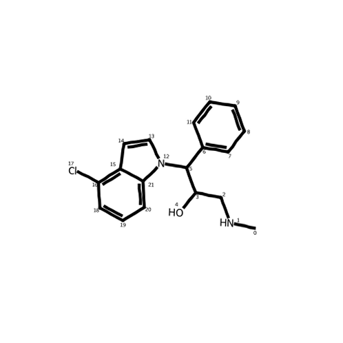 CNCC(O)C(c1ccccc1)n1ccc2c(Cl)cccc21